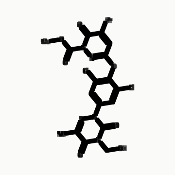 CC(C)c1cc(Oc2c(Cl)cc(-n3nc(C#N)c(=O)n(CO)c3=O)cc2Cl)nn(C(=O)OC(C)(C)C)c1=O